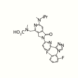 CC(C)N(C)c1cc2c(c(CN(C)C(=O)O)n1)CN(c1cccc(-c3nncn3-c3c(F)cccc3F)n1)C2=O